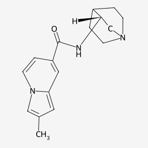 Cc1cc2cc(C(=O)N[C@H]3CN4CCC3CC4)ccn2c1